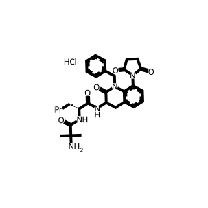 CC(C)C[C@@H](NC(=O)C(C)(C)N)C(=O)NC1Cc2cccc(N3C(=O)CCC3=O)c2N(Cc2ccccc2)C1=O.Cl